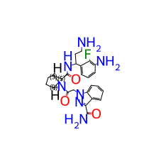 NCCC(NC(=O)[C@@H]1[C@H]2CC[C@H](C2)N1C(=O)Cn1nc(C(N)=O)c2ccccc21)c1cccc(N)c1F